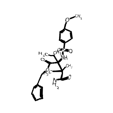 COc1ccc(S(=O)(=O)NC(C(=O)OCc2ccccc2)(C(C)C)C(C)(C)C(N)=O)cc1